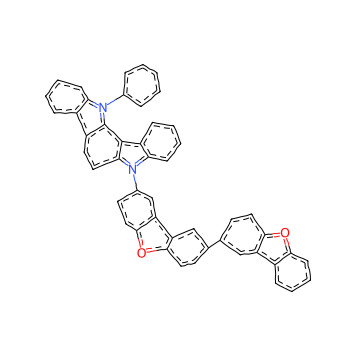 c1ccc(-n2c3ccccc3c3ccc4c(c5ccccc5n4-c4ccc5oc6ccc(-c7ccc8oc9ccccc9c8c7)cc6c5c4)c32)cc1